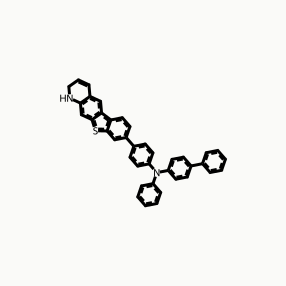 C1=Cc2cc3c(cc2NC1)sc1cc(-c2ccc(N(c4ccccc4)c4ccc(-c5ccccc5)cc4)cc2)ccc13